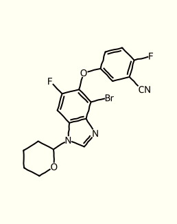 N#Cc1cc(Oc2c(F)cc3c(ncn3C3CCCCO3)c2Br)ccc1F